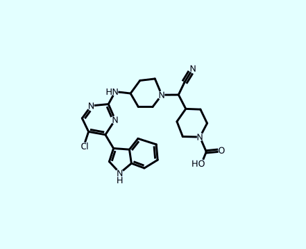 N#CC(C1CCN(C(=O)O)CC1)N1CCC(Nc2ncc(Cl)c(-c3c[nH]c4ccccc34)n2)CC1